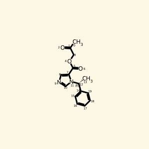 CC(=O)COC(=O)c1cncn1[C@H](C)c1ccccc1